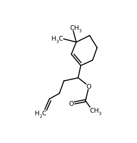 C=CCCC(OC(C)=O)C1=CC(C)(C)CCC1